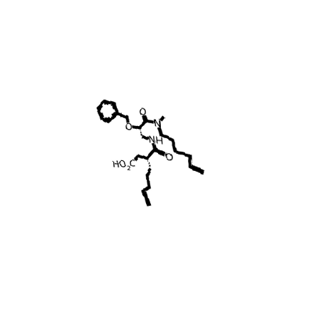 C=CCCCCN(C)C(=O)[C@H](CNC(=O)[C@H](CCCC=C)CC(=O)O)OCc1ccccc1